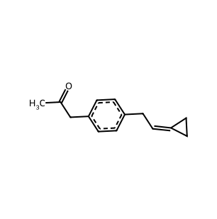 CC(=O)Cc1ccc(CC=C2CC2)cc1